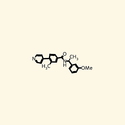 COc1cccc([C@H](C)NC(=O)c2ccc(-c3ccncc3)c(C)c2)c1